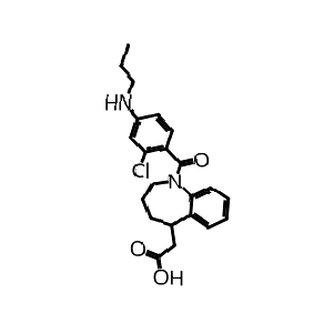 CCCNc1ccc(C(=O)N2CCCC(CC(=O)O)c3ccccc32)c(Cl)c1